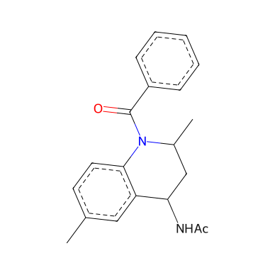 CC(=O)NC1CC(C)N(C(=O)c2ccccc2)c2ccc(C)cc21